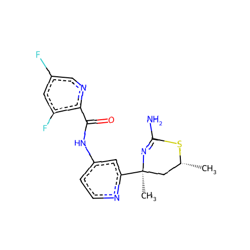 C[C@@H]1C[C@@](C)(c2cc(NC(=O)c3ncc(F)cc3F)ccn2)N=C(N)S1